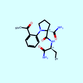 COC(=O)c1ccccc1N1CCC[C@@]1(C(N)=O)C(=O)N[C@@H](CC(C)C)C(N)=O